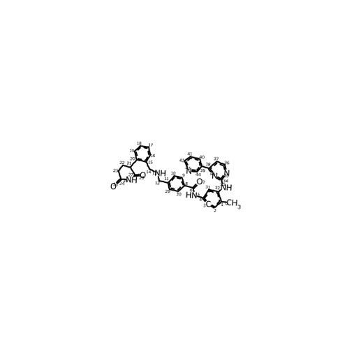 Cc1ccc(NC(=O)c2ccc(CNCc3ccccc3C3CCC(=O)NC3=O)cc2)cc1Nc1nccc(-c2cccnc2)n1